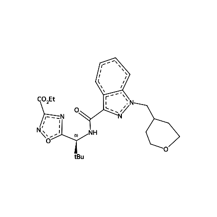 CCOC(=O)c1noc([C@@H](NC(=O)c2nn(CC3CCOCC3)c3ccccc23)C(C)(C)C)n1